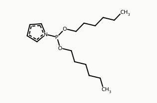 CCCCCCOP(OCCCCCC)n1cccc1